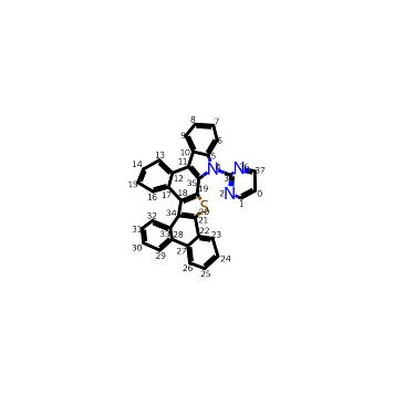 c1cnc(-n2c3ccccc3c3c4ccccc4c4c(sc5c6ccccc6c6ccccc6c54)c32)nc1